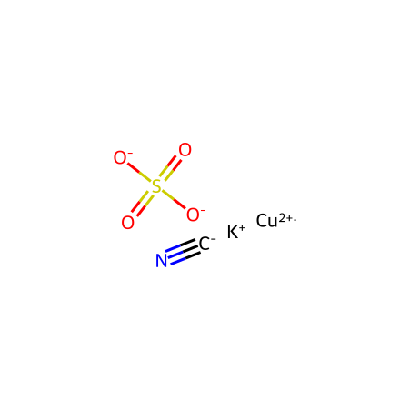 O=S(=O)([O-])[O-].[C-]#N.[Cu+2].[K+]